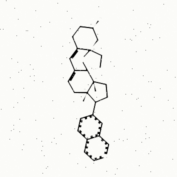 C[C@@]12CC=C3C=C4CC[C@@H](N)C[C@]45CC[C@]3(O5)[C@@H]1CCC2c1ccc2ccncc2c1